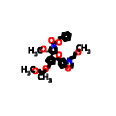 COCCCN1CCOc2ccc(CO[C@H]3CN(C(=O)OCc4ccccc4)C[C@@H](COC)[C@@H]3c3ccc(COC[C@@H](C)COC)cc3)cc21